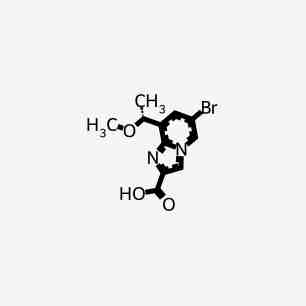 CO[C@H](C)c1cc(Br)cn2cc(C(=O)O)nc12